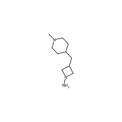 CN1CCC(CC2CN(N)C2)CC1